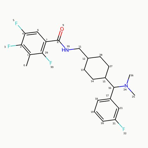 Cc1c(F)c(F)cc(C(=O)NCC2CCC(C(c3cccc(F)c3)N(C)C)CC2)c1F